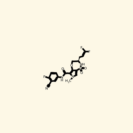 Cn1cc2c(c1C(=O)Nc1ccc(F)c(C#N)c1)OC[C@@H](CC=C(F)F)NS2(=O)=O